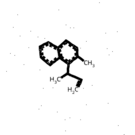 C=CC(C)c1c(C)ccc2ccccc12